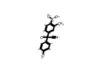 Cc1cc(C(Cl)(C#N)c2ccc(Cl)cc2)ccc1[N+](=O)[O-]